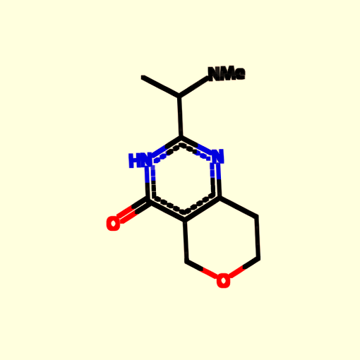 CNC(C)c1nc2c(c(=O)[nH]1)COCC2